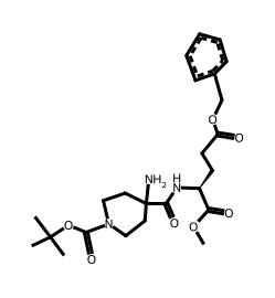 COC(=O)[C@H](CCC(=O)OCc1ccccc1)NC(=O)C1(N)CCN(C(=O)OC(C)(C)C)CC1